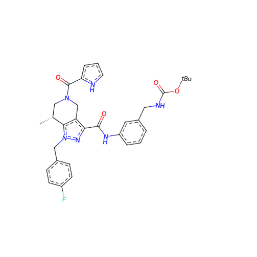 C[C@@H]1CN(C(=O)c2ccc[nH]2)Cc2c(C(=O)Nc3cccc(CNC(=O)OC(C)(C)C)c3)nn(Cc3ccc(F)cc3)c21